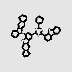 c1ccc(-c2nc(-c3cc(-n4c5ccccc5c5cc6ccccc6cc54)c4oc5cc6ccccc6cc5c4c3)nc(-c3cccc4c3oc3ccccc34)n2)cc1